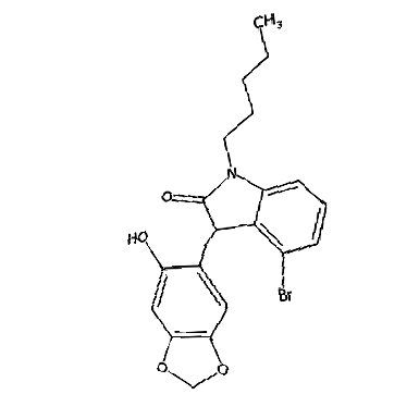 CCCCCN1C(=O)C(c2cc3c(cc2O)OCO3)c2c(Br)cccc21